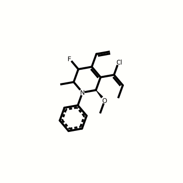 C=CC1=C(/C(Cl)=C\C)[C@@H](OC)N(c2ccccc2)C(C)C1F